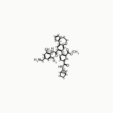 COC(=O)c1nc(C(=O)NC2CC3CCC2C3)ccc1-c1cc2c(cc1C(=O)Nc1c(C)cc(CN)cc1C)-c1sccc1CCO2